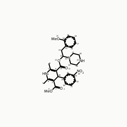 COC(=O)C1=C(C)NC(C)=C(C(=O)OC(Cc2ccccc2OC)N2CCNCC2)C1c1cccc([N+](=O)[O-])c1